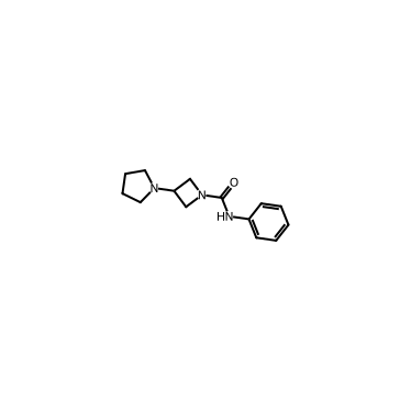 O=C(Nc1ccccc1)N1CC(N2CCCC2)C1